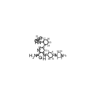 CN1CCN(c2ccc(Nc3cc(-c4ccccc4NS(C)(=O)=O)cnc3C(N)=O)cc2)CC1